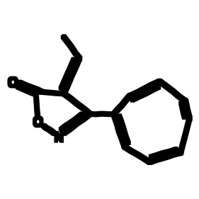 C/C=C1\C(=O)ON=C1C1=C/C=C\C=C/C=C\1